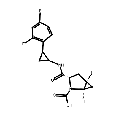 O=C(NC1CC1c1ccc(F)cc1F)[C@@H]1C[C@H]2C[C@H]2N1C(=O)O